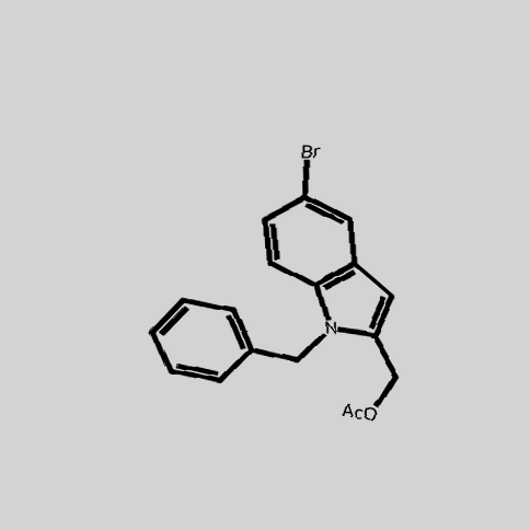 CC(=O)OCc1cc2cc(Br)ccc2n1Cc1ccccc1